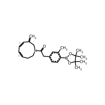 C=C1/C=C\C=C/CCN(C(=O)Cc2ccc(B3OC(C)(C)C(C)(C)O3)c(C)c2)C1